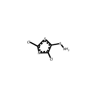 NSc1sc(Cl)nc1Cl